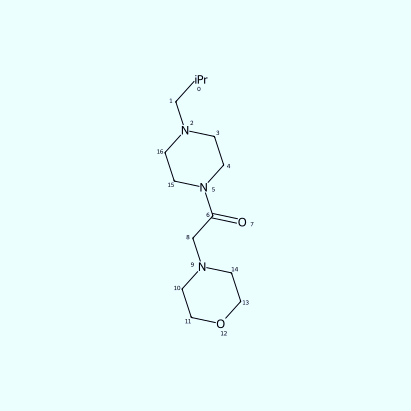 CC(C)CN1CCN(C(=O)CN2CCOCC2)CC1